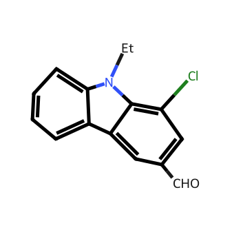 CCn1c2ccccc2c2cc(C=O)cc(Cl)c21